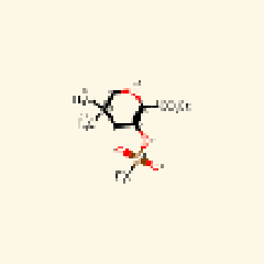 CCOC(=O)C1=C(OS(=O)(=O)C(F)(F)F)C[C@@](C)(C(F)(F)F)CO1